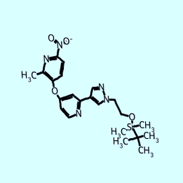 Cc1nc([N+](=O)[O-])ccc1Oc1ccnc(-c2cnn(CCO[Si](C)(C)C(C)(C)C)c2)c1